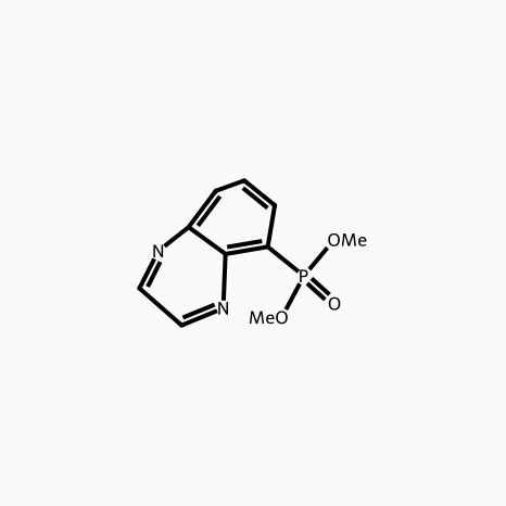 COP(=O)(OC)c1cccc2nccnc12